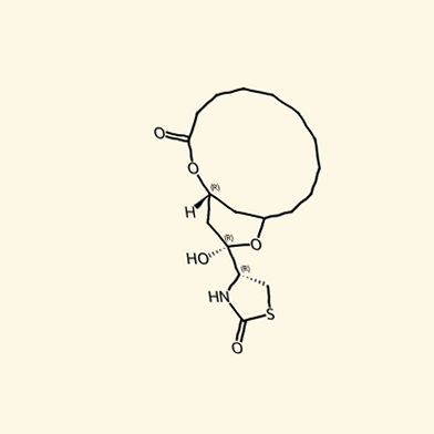 O=C1CCCCCCCCCC2C[C@H](C[C@](O)([C@@H]3CSC(=O)N3)O2)O1